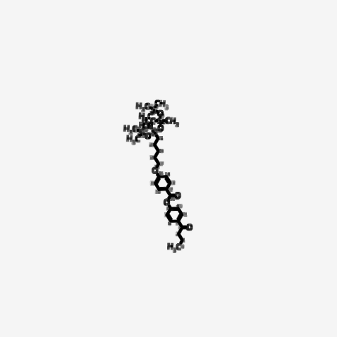 CCCC(=O)c1ccc(OC(=O)c2ccc(OCCCCC[Si](C)(O[Si](C)(C)C)O[Si](C)(C)O[Si](C)(C)C)cc2)cc1